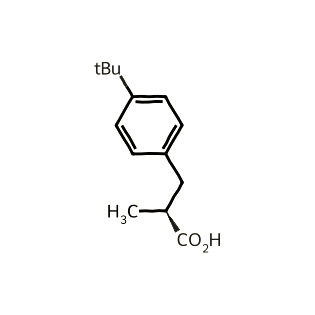 C[C@@H](Cc1ccc(C(C)(C)C)cc1)C(=O)O